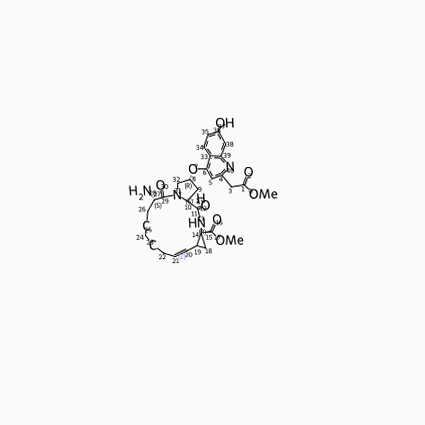 COC(=O)Cc1cc(O[C@@H]2C[C@H]3C(=O)N[C@]4(C(=O)OC)CC4/C=C\CCCCC[C@H](N)C(=O)N3C2)c2ccc(O)cc2n1